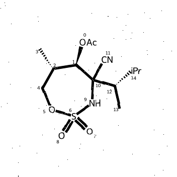 CC(=O)O[C@@H]1[C@@H](C)COS(=O)(=O)NC1(C#N)[C@@H](C)C(C)C